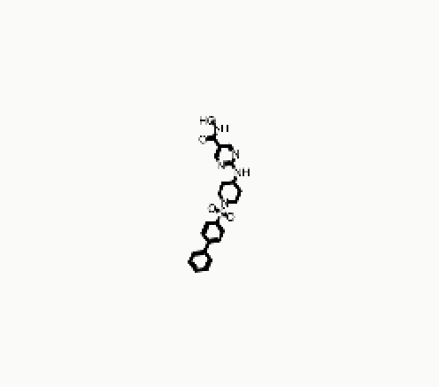 O=C(NO)c1cnc(NC2CCN(S(=O)(=O)c3ccc(-c4ccccc4)cc3)CC2)nc1